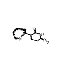 C=C1CCC(c2ccccn2)C(=O)N1